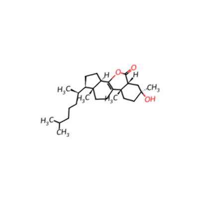 CC(C)CCC[C@@H](C)[C@H]1CC[C@H]2C3=C(CC[C@]12C)[C@@]1(C)CC[C@](C)(O)C[C@H]1C(=O)O3